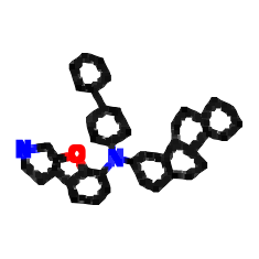 c1ccc(-c2ccc(N(c3ccc4ccc5c6ccccc6ccc5c4c3)c3cccc4c3oc3cnccc34)cc2)cc1